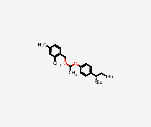 Cc1ccc(COC(C)Oc2ccc([C@@H](CC(C)(C)C)C(C)(C)C)cc2)c(C)c1